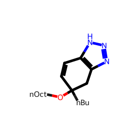 CCCCCCCCOC1(CCCC)C=Cc2[nH]nnc2C1